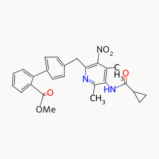 COC(=O)c1ccccc1-c1ccc(Cc2nc(C)c(NC(=O)C3CC3)c(C)c2[N+](=O)[O-])cc1